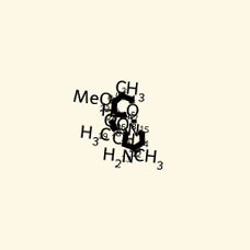 COC1[C@H](C)CO[C@@]2(CN3CCC(C)(N)CC3)OC(C)(C)O[C@@H]12